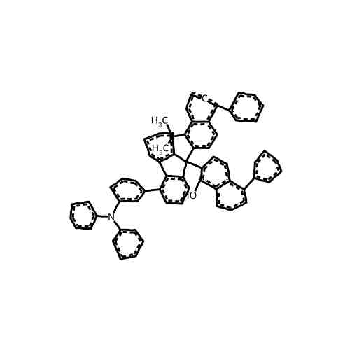 CC(C)c1c(C2(c3ccc4c(-c5ccccc5)cccc4c3O)c3ccccc3-c3c(-c4cccc(N(c5ccccc5)c5ccccc5)c4)cccc32)ccc2c(-c3ccccc3)cccc12